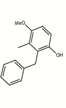 COc1ccc(O)c(Cc2ccccc2)c1C